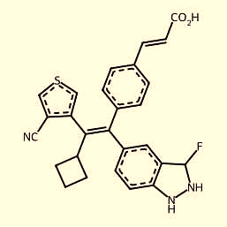 N#Cc1cscc1/C(=C(\c1ccc(/C=C/C(=O)O)cc1)c1ccc2c(c1)C(F)NN2)C1CCC1